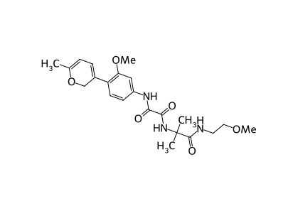 COCCNC(=O)C(C)(C)NC(=O)C(=O)Nc1ccc(C2=CC=C(C)OC2)c(OC)c1